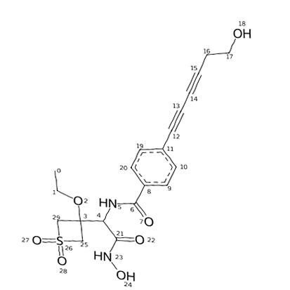 CCOC1(C(NC(=O)c2ccc(C#CC#CCCO)cc2)C(=O)NO)CS(=O)(=O)C1